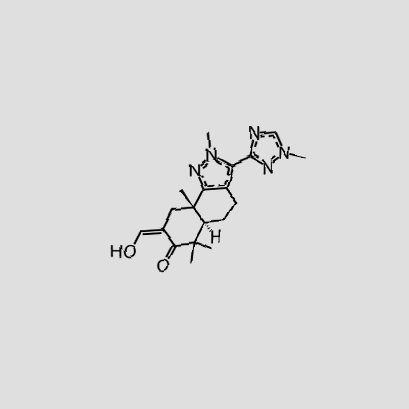 Cn1cnc(-c2c3c(nn2C)[C@@]2(C)C/C(=C/O)C(=O)C(C)(C)[C@@H]2CC3)n1